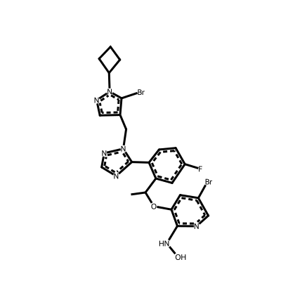 CC(Oc1cc(Br)cnc1NO)c1cc(F)ccc1-c1ncnn1Cc1cnn(C2CCC2)c1Br